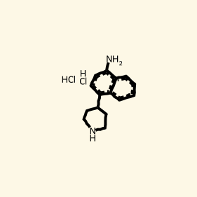 Cl.Cl.Nc1ccc(C2CCNCC2)c2ccccc12